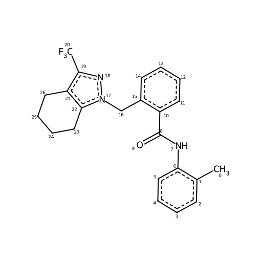 Cc1ccccc1NC(=O)c1ccccc1Cn1nc(C(F)(F)F)c2c1CCCC2